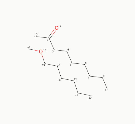 [CH2]C(=O)CCCCCCC.[CH2]CCCCCOC